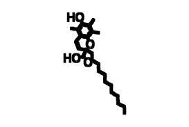 CCCCCCCCCCCCC1(C(=O)O)C=Cc2c(C)c(O)c(C)c(C)c2O1